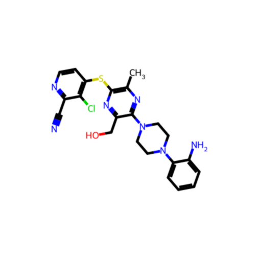 Cc1nc(N2CCN(c3ccccc3N)CC2)c(CO)nc1Sc1ccnc(C#N)c1Cl